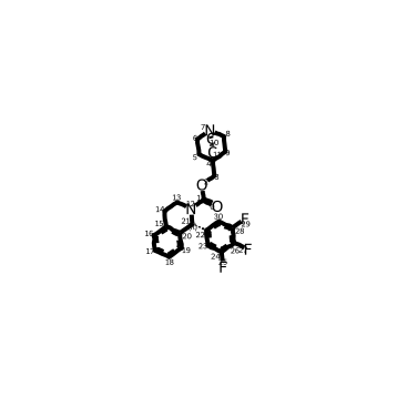 O=C(OCC12CCN(CC1)CC2)N1CCc2ccccc2[C@H]1c1cc(F)c(F)c(F)c1